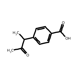 CC(=O)C(C)c1ccc(C(=O)O)cc1